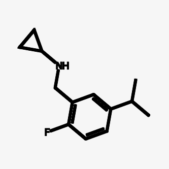 CC(C)c1ccc(F)c(CNC2CC2)c1